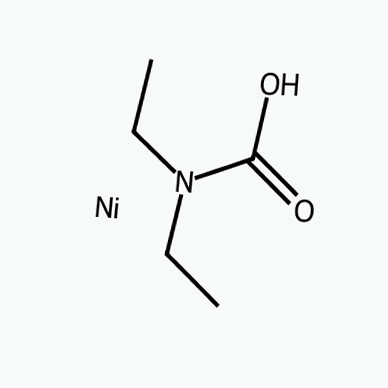 CCN(CC)C(=O)O.[Ni]